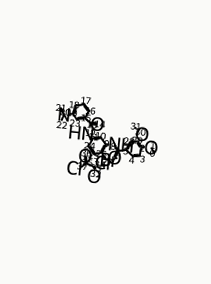 COc1ccc(C(=O)Nc2cc(NC(=O)c3cccc(N(C)C)c3)ccc2Br)cc1OC.O=C(Cl)C(=O)Cl